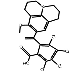 C=C(c1cc2c3c(c1OC)CCCN3CCC2)c1c(Cl)c(Cl)c(Cl)c(Cl)c1C(=O)O